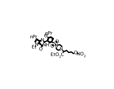 CCCOc1ccc(S(=O)(=O)N2CCN(C(CCCCO[N+](=O)[O-])C(=O)OCC)CC2)cc1-c1nc2c(CCC)cn(CC)c2c(=O)[nH]1